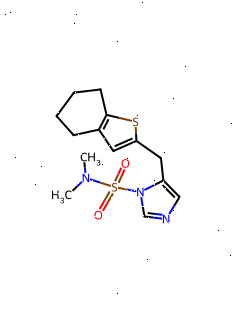 CN(C)S(=O)(=O)n1cncc1Cc1cc2c(s1)CCCC2